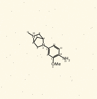 COc1cc(N2CC3CC2CN3C)ccc1N